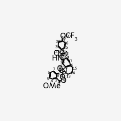 COC(=O)c1ccccc1S(=O)(=O)N1CCCc2ccc(NS(=O)(=O)c3ccc(OC(F)(F)F)cc3)cc21